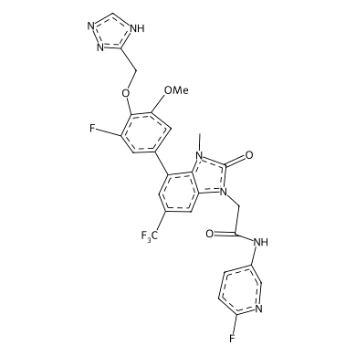 COc1cc(-c2cc(C(F)(F)F)cc3c2n(C)c(=O)n3CC(=O)Nc2ccc(F)nc2)cc(F)c1OCc1nnc[nH]1